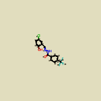 O=C(N/N=C/c1cc(Cl)ccc1O)c1ccc(C(F)(F)F)cc1